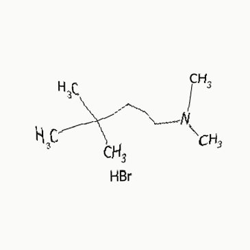 Br.CN(C)CCC(C)(C)C